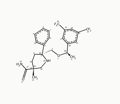 C[C@@H](OC[C@@]1(c2ccccc2)CC[C@@](C)(C(N)=O)CN1)c1cc(C(F)(F)F)cc(C(F)(F)F)c1